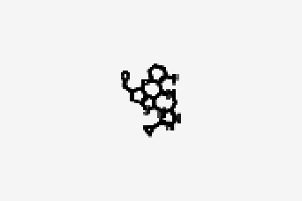 O=CC1Cc2sc3c(c2C1)C(c1c(F)cccc1F)=NCc1nnc(C2CC2)n1-3